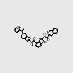 CC(c1ccc[nH]1)N1CCc2nc(NC(=O)c3cccc4[nH]c(NC(=O)c5cc6ccccc6cn5)nc34)sc2C1